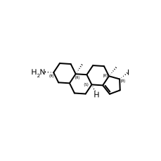 C[C@@]12CC[C@@H](N)CC1CC[C@@H]1C3=CC[C@@H](I)[C@]3(C)CCC12